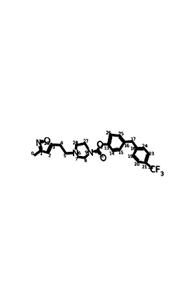 Cc1cc(CCN2CCN(C(=O)Oc3ccc(Cc4ccc(C(F)(F)F)cc4)cc3)CC2)on1